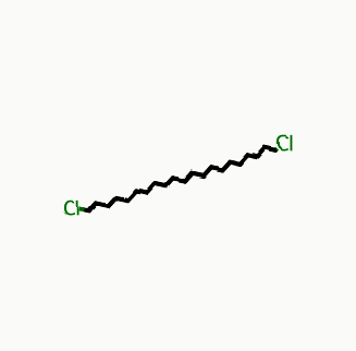 ClCCCCCCCCCCCCCCCCCCCCCCl